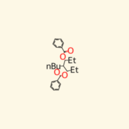 CCCCC(C(CC)OC(=O)c1ccccc1)C(CC)OC(=O)c1ccccc1